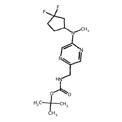 CN(c1cnc(CNC(=O)OC(C)(C)C)cn1)C1CCC(F)(F)C1